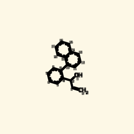 C=CC(O)c1ccccc1-c1cccc2ccccc12